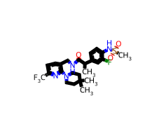 CC(C(=O)NCc1ccc(C(F)(F)F)nc1N1CCC(C)(C)CC1)c1ccc(NS(C)(=O)=O)c(F)c1